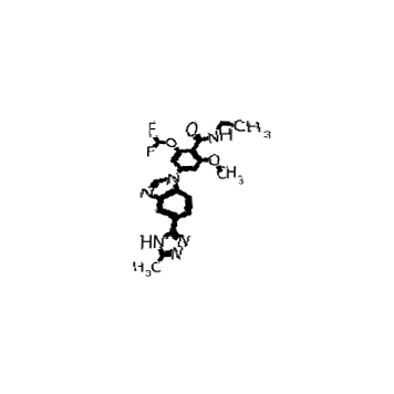 CCNC(=O)c1c(OC)cc(-n2cnc3cc(-c4nnc(C)[nH]4)ccc32)cc1OC(F)F